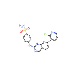 NS(=O)(=O)c1ccc(Nc2ncc3ccc(-c4cccnc4F)cc3n2)cc1